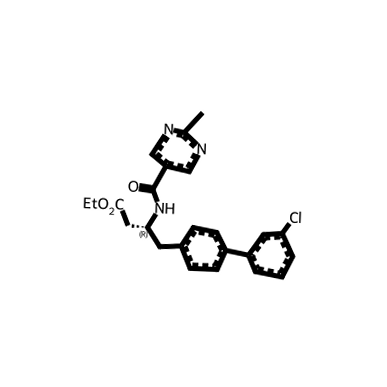 CCOC(=O)C[C@@H](Cc1ccc(-c2cccc(Cl)c2)cc1)NC(=O)c1cnc(C)nc1